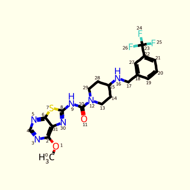 COc1ncnc2sc(NC(=O)N3CCC(NCc4cccc(C(F)(F)F)c4)CC3)nc12